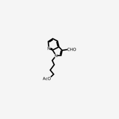 CC(=O)OCCCCn1cc(C=O)c2cccnc21